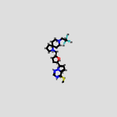 CSc1ncnn2c([C@H]3CC[C@@H](CN4CCCC45CCN(CC(F)(F)F)CC5)O3)ccc12